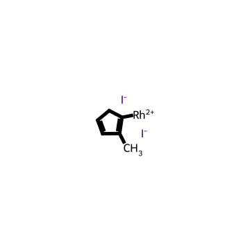 CC1=[C]([Rh+2])CC=C1.[I-].[I-]